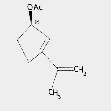 C=C(C)C1=C[C@H](OC(C)=O)CC1